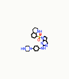 O=S(=O)(c1cccc2c1NCCC2)n1ccc2cnc(Nc3ccc(N4CCNCC4)cc3)nc21